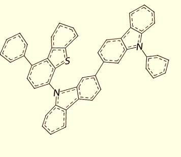 c1ccc(-c2ccc(-n3c4ccccc4c4ccc(-c5ccc6c7ccccc7n(-c7ccccc7)c6c5)cc43)c3sc4ccccc4c23)cc1